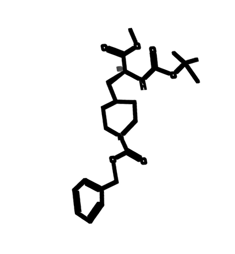 COC(=O)[C@H](CC1CCN(C(=O)OCc2ccccc2)CC1)NC(=O)OC(C)(C)C